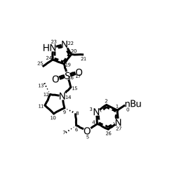 CCCCc1cnc(O[C@H](C)C[C@@H]2CC[C@H](C)N2CS(=O)(=O)c2c(C)n[nH]c2C)cn1